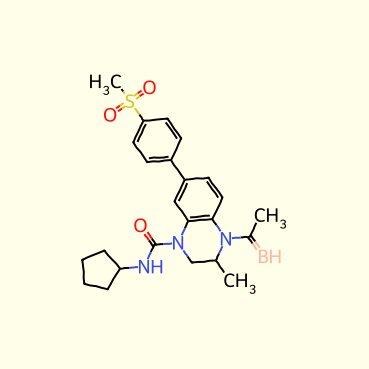 B=C(C)N1c2ccc(-c3ccc(S(C)(=O)=O)cc3)cc2N(C(=O)NC2CCCC2)CC1C